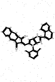 Cc1cccc(C)c1-n1c(C=C2C(=O)c3cc4ccccc4cc3C2=O)cc2sc(-c3cccc4ccccc34)nc21